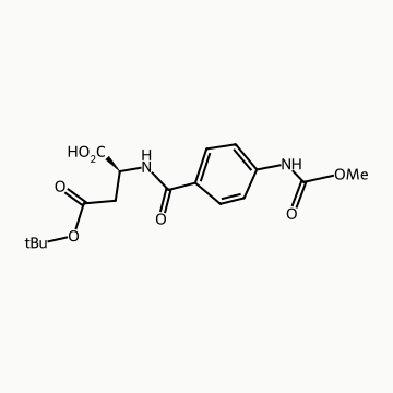 COC(=O)Nc1ccc(C(=O)N[C@@H](CC(=O)OC(C)(C)C)C(=O)O)cc1